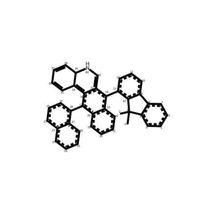 CC1(C)c2ccccc2-c2cccc(-c3c4c(c(-c5cccc6ccccc56)c5ccccc35)=C3C=CC=CC3NC=4)c21